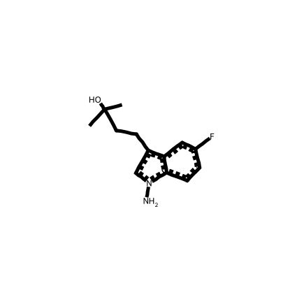 CC(C)(O)CCc1cn(N)c2ccc(F)cc12